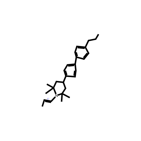 C/C=C/N1C(C)(C)CC(c2ccc(-c3ccc(CCC)cc3)cc2)CC1(C)C